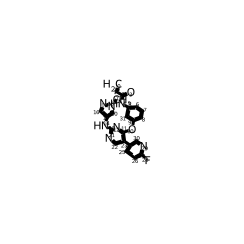 C=CC(=O)Nc1cccc(Oc2nc(Nc3cnn(C)c3)ncc2-c2ccc(F)nc2)c1